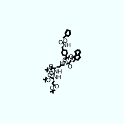 COc1c(C[C@@H](NC(=O)C2CCC(CNC(=O)OCc3ccccc3)CC2)C(=O)NCCCC[C@H](NC(=O)N[C@@H](CCC(=O)OC(C)(C)C)C(=O)OC(C)(C)C)C(=O)OC(C)(C)C)ccc2ccccc12